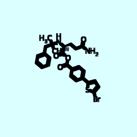 CC(C)(Cc1ccccc1)N[C@@H](CCC(N)=O)C(=O)OC(=O)c1ccc(-c2ccc(Br)s2)cc1